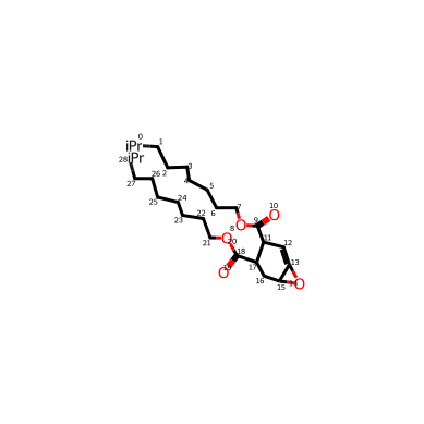 CC(C)CCCCCCCOC(=O)C1C=C2OC2CC1C(=O)OCCCCCCCC(C)C